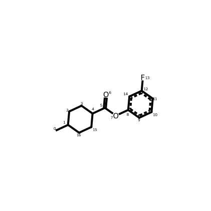 CC1CCC(C(=O)Oc2cccc(F)c2)CC1